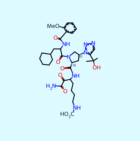 COc1ccccc1C(=O)NC(CC1CCCCC1)C(=O)N1C[C@@H](n2nncc2C(C)(C)O)C[C@H]1C(=O)NC(CCCCNC(=O)O)C(=O)C(N)=O